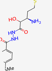 CSc1ccc(C(=O)NNC(=O)C(O)[C@H](N)CCSC(C)C)cc1